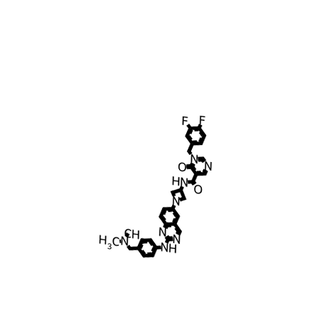 CN(C)Cc1ccc(Nc2ncc3cc(N4CC(NC(=O)c5cncn(Cc6ccc(F)c(F)c6)c5=O)C4)ccc3n2)cc1